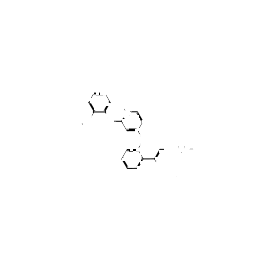 COC=C(C(=O)O)c1ccccc1Oc1ccnc(Oc2ccccc2C#N)c1